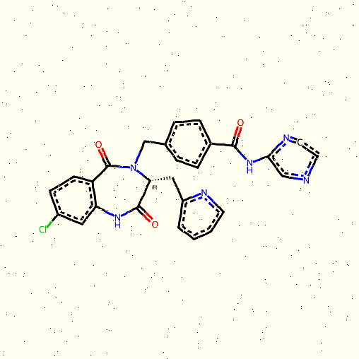 O=C(Nc1cnccn1)c1ccc(CN2C(=O)c3ccc(Cl)cc3NC(=O)[C@H]2Cc2ccccn2)cc1